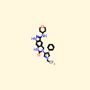 O=C1Nc2cc3[nH]nc(NC4CCOCC4)c3cc2CN1[C@@H]1CN(CC(F)(F)F)C[C@H]1c1ccccc1